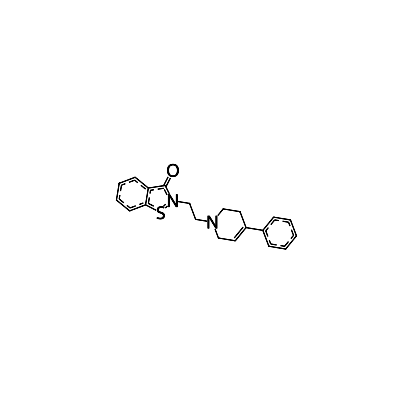 O=c1c2ccccc2sn1CCN1CC=C(c2ccccc2)CC1